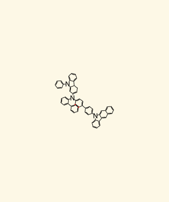 C1=C(N(c2ccc(-c3ccc(-n4c5ccccc5c5cc6ccccc6cc54)cc3)cc2)c2ccccc2-c2ccccc2)C=C2C(C1)c1ccccc1N2c1ccccc1